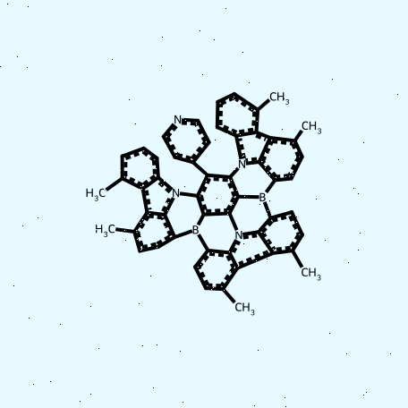 Cc1cccc2c1c1c(C)ccc3c1n2-c1c2c4c5c(c1-c1ccncc1)-n1c6cccc(C)c6c6c(C)ccc(c61)B5c1ccc(C)c5c6c(C)ccc(c6n-4c15)B23